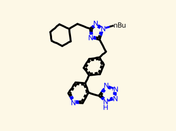 CCCCn1nc(CC2CCCCC2)nc1Cc1ccc(-c2ccncc2-c2nnn[nH]2)cc1